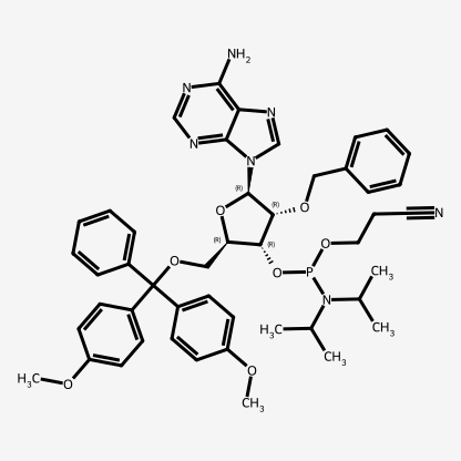 COc1ccc(C(OC[C@H]2O[C@@H](n3cnc4c(N)ncnc43)[C@H](OCc3ccccc3)[C@@H]2OP(OCCC#N)N(C(C)C)C(C)C)(c2ccccc2)c2ccc(OC)cc2)cc1